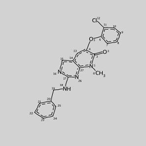 Cn1c(=O)c(Oc2ccccc2Cl)cc2cnc(NCc3ccccc3)nc21